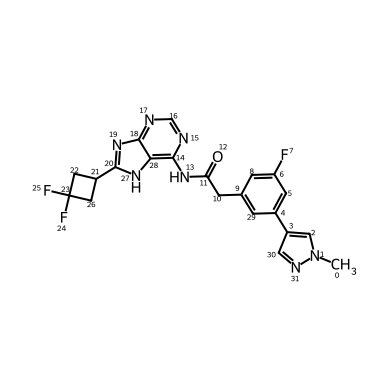 Cn1cc(-c2cc(F)cc(CC(=O)Nc3ncnc4nc(C5CC(F)(F)C5)[nH]c34)c2)cn1